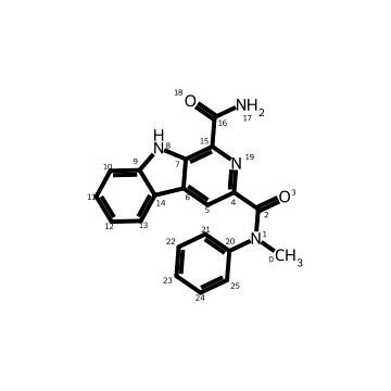 CN(C(=O)c1cc2c([nH]c3ccccc32)c(C(N)=O)n1)c1ccccc1